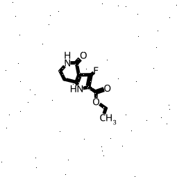 CCOC(=O)c1[nH]c2c(c1F)C(=O)NCC2